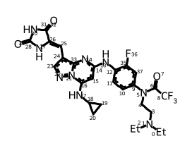 CCN(CC)CCN(C(=O)C(F)(F)F)c1ccc(Nc2cc(NC3CC3)n3ncc(/C=C4\NC(=O)NC4=O)c3n2)c(F)c1